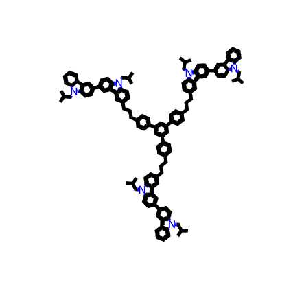 CC(C)CN1c2ccccc2C2C=C(c3ccc4c(c3)c3cc(CCCc5ccc(-c6cc(-c7ccc(CCCc8ccc9c(c8)c8cc(-c%10ccc%11c(c%10)C%10C=CC=CC%10N%11CC(C)C)ccc8n9CC(C)C)cc7)cc(-c7ccc(CCCc8ccc9c(c8)c8cc(-c%10ccc%11c(c%10)c%10ccccc%10n%11CC(C)C)ccc8n9CC(C)C)cc7)c6)cc5)ccc3n4CC(C)C)C=CC21